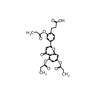 CCC(=O)Oc1cc(OC(=O)CC)c2c(=O)cc(-c3ccc(CCC(=O)O)c(OC(=O)CC)c3)oc2c1